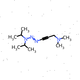 CC(C)N(N=NC#CCN(C)C)C(C)C